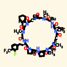 CC[C@H](C)[C@@H]1NC(=O)[C@H](CC(C)C)N(C)C(=O)CCN(C)C(=O)[C@H](C(C)C)N(C)C(=O)C2(CCCC2)NC(=O)[C@@H]2CCCN2C(=O)[C@H](CCc2ccc(C(F)(F)F)c(F)c2)NC(=O)CN(C)C(=O)[C@H](CC2CCCCC2)N(C)C(=O)CN(C)C(=O)CN(C)C1=O